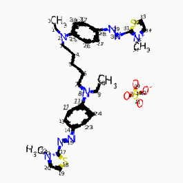 CCN(CCCCCN(CC)c1ccc(N=Nc2scc[n+]2C)cc1)c1ccc(N=Nc2scc[n+]2C)cc1.O=S(=O)([O-])[O-]